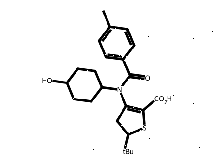 Cc1ccc(C(=O)N(C2=C(C(=O)O)SC(C(C)(C)C)C2)C2CCC(O)CC2)cc1